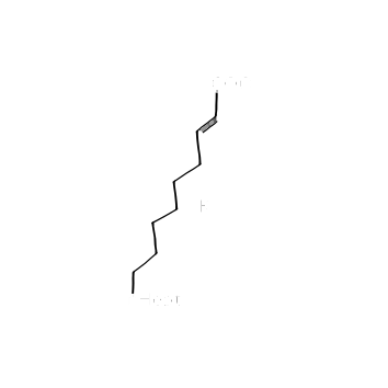 CCCCCCCCCCCCCC=CC(=O)[O-].[K+]